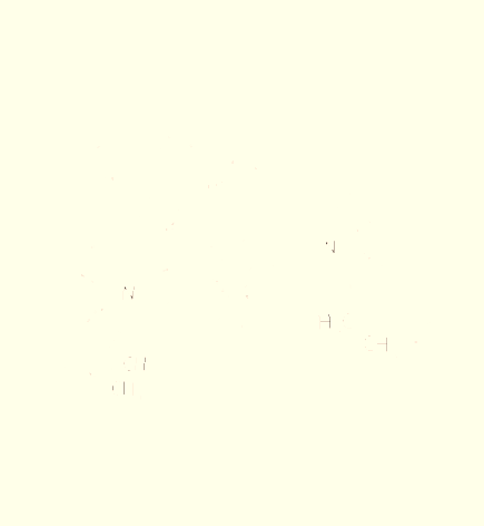 CC1(C)c2ccccc2-c2cc3c4ccccc4n(-c4ccc(-c5c6ccccc6c(-c6ccc(-n7c8ccccc8c8cc9c(cc87)C(C)(C)c7ccccc7-9)cc6)c6cc7c(cc56)c(-c5ccccc5)c(-c5cccc(-c6ccccc6)c5)c5ccccc57)cc4)c3cc21